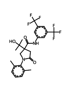 Cc1cccc(C)c1N1CC(C(=O)Nc2cc(C(F)(F)F)cc(C(F)(F)F)c2)(C(C)(C)O)CC1=O